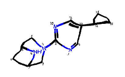 c1nc(N2CC3CC(C2)N3)ncc1C1CC1